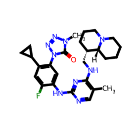 Cc1cnc(Nc2cc(-n3nnn(C)c3=O)c(C3CC3)cc2F)nc1NC[C@@H]1CCCN2CCCC[C@H]12